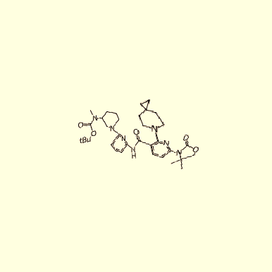 CN(C(=O)OC(C)(C)C)C1CCCN(c2cccc(NC(=O)c3ccc(N4C(=O)OCC4(C)C)nc3N3CCC4(CC3)CC4)n2)C1